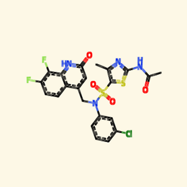 CC(=O)Nc1nc(C)c(S(=O)(=O)N(Cc2cc(=O)[nH]c3c(F)c(F)ccc23)c2cccc(Cl)c2)s1